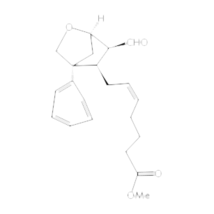 COC(=O)CCC/C=C\C[C@@H]1[C@H](C=O)[C@H]2C[C@]1(c1ccccc1)CO2